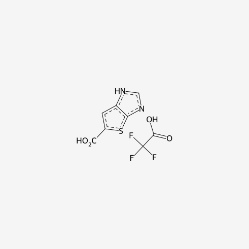 O=C(O)C(F)(F)F.O=C(O)c1cc2[nH]cnc2s1